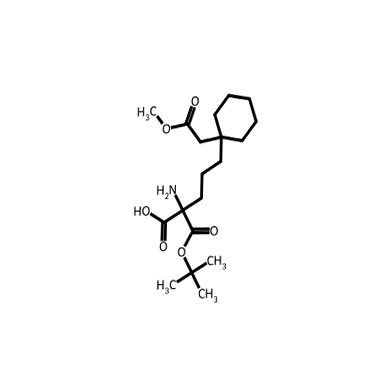 COC(=O)CC1(CCCC(N)(C(=O)O)C(=O)OC(C)(C)C)CCCCC1